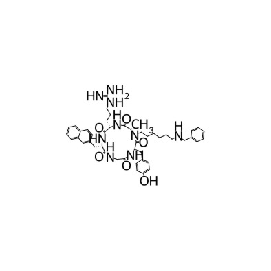 C[C@@H]1C(=O)N[C@@H](CCCNC(=N)N)C(=O)N[C@@H](Cc2ccc3ccccc3c2)C(=O)NCC(=O)N[C@H](Cc2ccc(O)cc2)C(=O)N1CCCCCCNCc1ccccc1